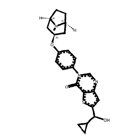 CN1[C@@H]2CC[C@H]1C[C@@H](Oc1ccc(-n3cnc4cc(C(O)C5CC5)sc4c3=O)cc1)C2